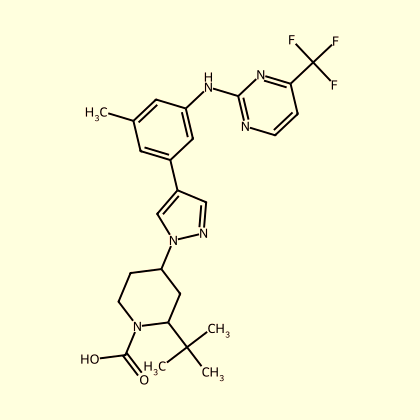 Cc1cc(Nc2nccc(C(F)(F)F)n2)cc(-c2cnn(C3CCN(C(=O)O)C(C(C)(C)C)C3)c2)c1